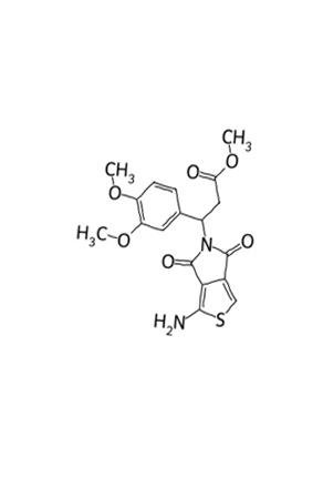 COC(=O)CC(c1ccc(OC)c(OC)c1)N1C(=O)c2csc(N)c2C1=O